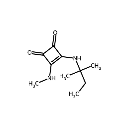 CCC(C)(C)Nc1c(NC)c(=O)c1=O